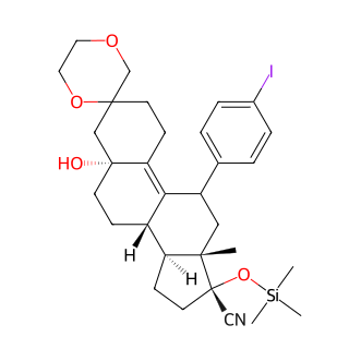 C[C@]12CC(c3ccc(I)cc3)C3=C4CCC5(COCCO5)C[C@]4(O)CC[C@H]3[C@@H]1CC[C@@]2(C#N)O[Si](C)(C)C